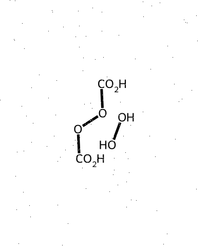 O=C(O)OOC(=O)O.OO